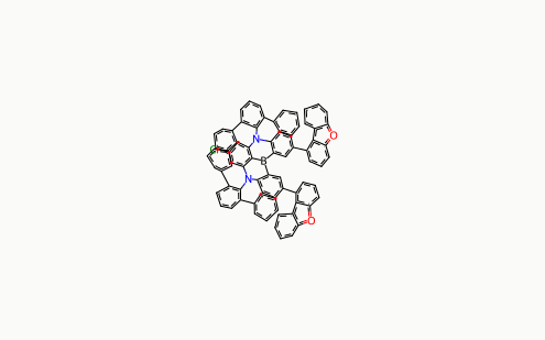 Clc1cc2c3c(c1)N(c1c(-c4ccccc4)cccc1-c1ccccc1)c1ccc(-c4cccc5oc6ccccc6c45)cc1B3c1cc(-c3cccc4oc5ccccc5c34)ccc1N2c1c(-c2ccccc2)cccc1-c1ccccc1